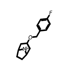 Fc1ccc(COC2CC3CCC(C2)N3)cc1